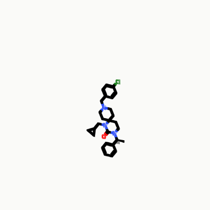 C[C@@H](c1ccccc1)N1CCC2(CCN(Cc3ccc(Cl)cc3)CC2)N(CC2CC2)C1=O